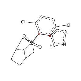 O=S(=O)(c1cc(Cl)ccc1Cl)N1C2CCC1CN(Cc1cnn[nH]1)C2